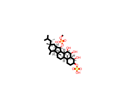 COP(=O)(O)O[C@@H]1[C@H]2C[C@@](C)([C@@H](C)C(C)C)CC(C)[C@@H]2[C@@]2(C)CC[C@H]3[C@@H]([C@@H](O)[C@@H](O)[C@H]4[C@@H](O)C(OS(=O)(=O)O)CC[C@@]43C)[C@H]12